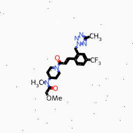 COCC(=O)N(C)C1CCN(C(=O)C=Cc2ccc(C(F)(F)F)cc2Cn2nnc(C)n2)CC1